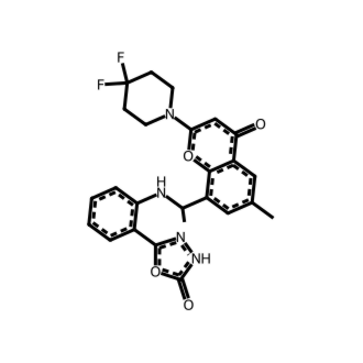 Cc1cc(C(C)Nc2ccccc2-c2n[nH]c(=O)o2)c2oc(N3CCC(F)(F)CC3)cc(=O)c2c1